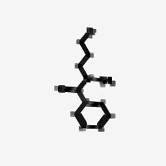 NN(CCCBr)C(=O)c1ccccc1